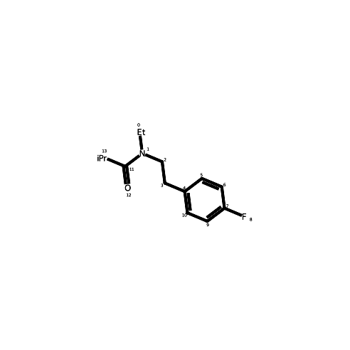 [CH2]CN(CCc1ccc(F)cc1)C(=O)C(C)C